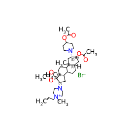 C=CC[N+]1(C)CCN([C@H]2CC3C4CC[C@H]5C[C@H](OC(C)=O)[C@@H](N6CCC(OC(C)=O)CC6)C[C@]5(C)C4CC[C@]3(C)[C@H]2OC(C)=O)CC1.[Br-]